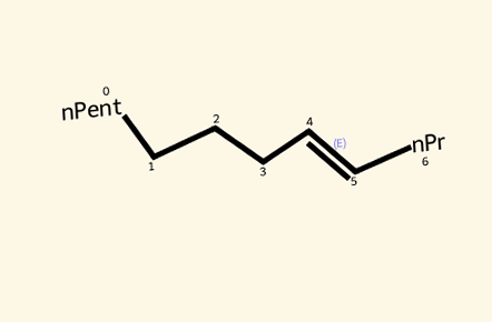 [CH2]CCCCCCC/C=C/CCC